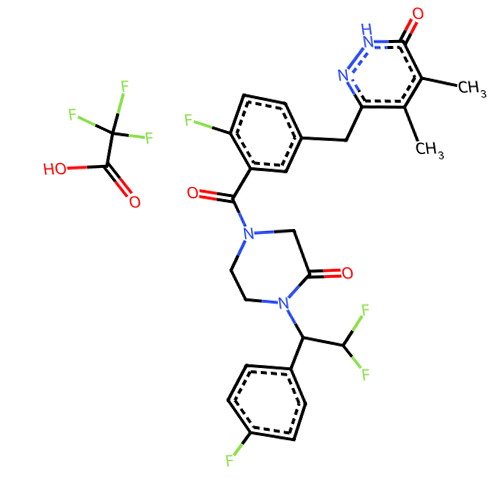 Cc1c(Cc2ccc(F)c(C(=O)N3CCN(C(c4ccc(F)cc4)C(F)F)C(=O)C3)c2)n[nH]c(=O)c1C.O=C(O)C(F)(F)F